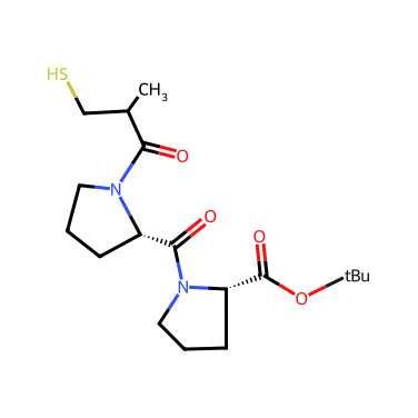 CC(CS)C(=O)N1CCC[C@H]1C(=O)N1CCC[C@H]1C(=O)OC(C)(C)C